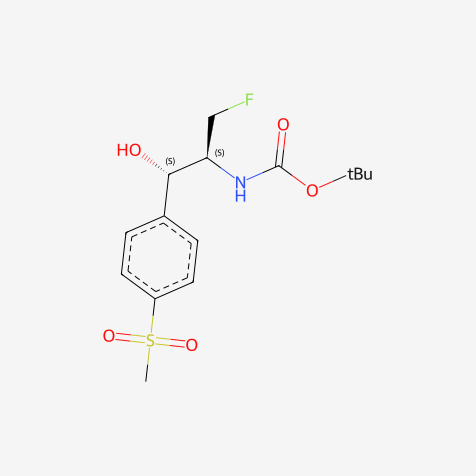 CC(C)(C)OC(=O)N[C@H](CF)[C@@H](O)c1ccc(S(C)(=O)=O)cc1